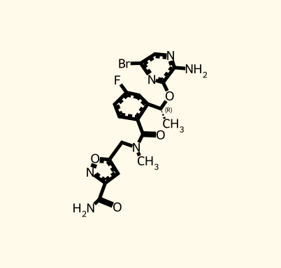 C[C@@H](Oc1nc(Br)cnc1N)c1cc(F)ccc1C(=O)N(C)Cc1cc(C(N)=O)no1